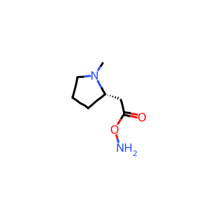 CN1CCC[C@H]1CC(=O)ON